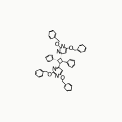 c1ccc(COc2cc([C@H]3[C@H](c4ccccc4)[C@H](c4cc(OCc5ccccc5)nc(OCc5ccccc5)n4)[C@H]3c3ccccc3)nc(OCc3ccccc3)n2)cc1